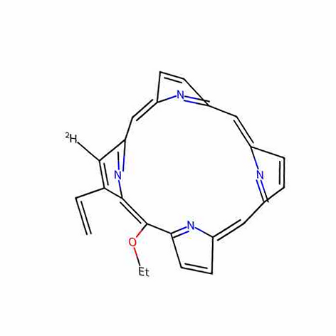 [2H]C1=C(C=C)C2=C(OCC)C3=NC(=CC4=NC(=CC5=NC(=CC1=N2)C=C5)C=C4)C=C3